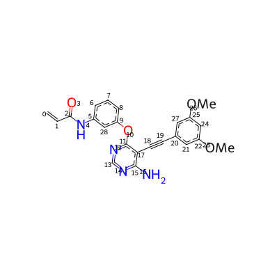 C=CC(=O)Nc1cccc(Oc2ncnc(N)c2C#Cc2cc(OC)cc(OC)c2)c1